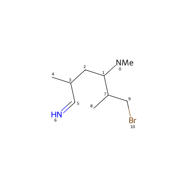 CNC(CC(C)C=N)C(C)CBr